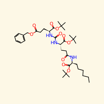 CCCCCC[C@H](NC(=O)CC[C@H](NC(=O)N[C@@H](CCC(=O)OCc1ccccc1)C(=O)OC(C)(C)C)C(=O)OC(C)(C)C)C(=O)OC(C)(C)C